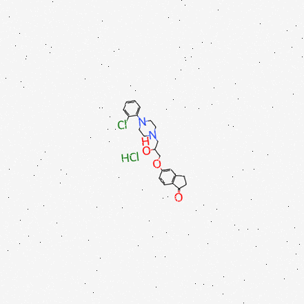 Cl.O=C1CCc2cc(OCC(O)CN3CCN(c4ccccc4Cl)CC3)ccc21